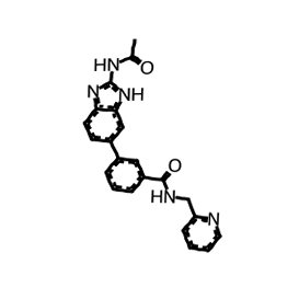 CC(=O)Nc1nc2ccc(-c3cccc(C(=O)NCc4ccccn4)c3)cc2[nH]1